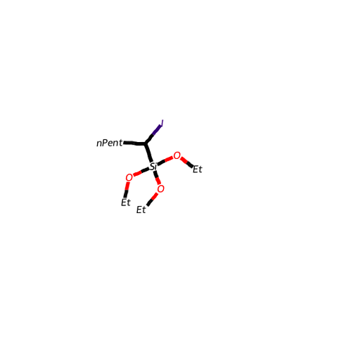 CCCCCC(I)[Si](OCC)(OCC)OCC